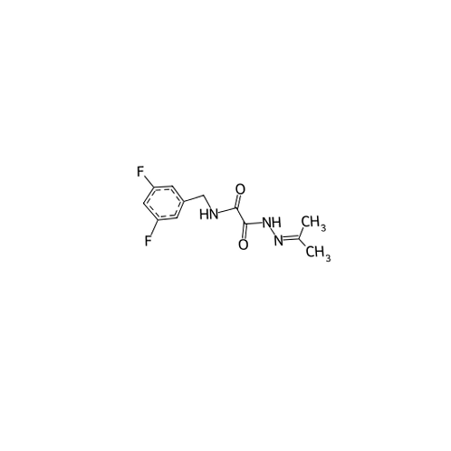 CC(C)=NNC(=O)C(=O)NCc1cc(F)cc(F)c1